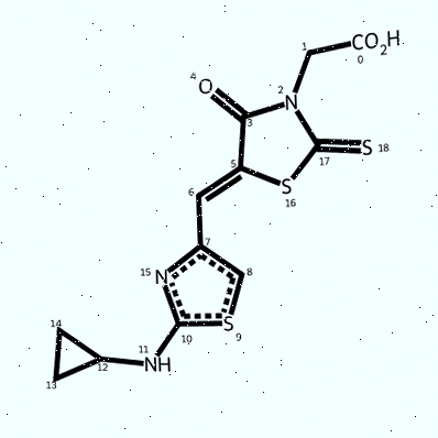 O=C(O)CN1C(=O)C(=Cc2csc(NC3CC3)n2)SC1=S